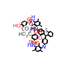 Cc1cc(C)c(NS(=O)(=O)c2ccc(O)c(C(=O)O)c2)c(C)c1/N=c1/ccc2c(-c3ccccc3S(=O)(=O)O)c3ccc(Nc4c(C)cc(C)c(NS(=O)(=O)c5ccc(O)c(C(=O)O)c5)c4C)cc3oc-2c1